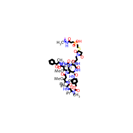 CCC(C)[C@@H](C(CC(=O)N1CCC[C@H]1[C@H](OC)[C@@H](C)C(=O)N[C@H](C)[C@@H](O)c1ccccc1)OC)N(C)C(=O)[C@@H](NC(=O)[C@H](C(C)C)N(C)C(=O)OCc1ccc(NC(=O)[C@@H]2CCCN(C(N)=O)C(C)[C@@H](NC(=O)CCN3C(=O)CC(SCCP(=O)(O)CCC(=O)NN(C)I)C3=O)C(=O)N2)cc1)C(C)C